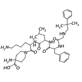 CC(C)CC(NC(=O)C(Cc1ccccc1)NC(=O)CNCC(C)(C)c1ccccc1)C(=O)NC(CCCCN)C(=O)N1CCC(N)(C(=O)O)CC1